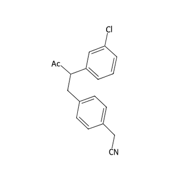 CC(=O)C(Cc1ccc(CC#N)cc1)c1cccc(Cl)c1